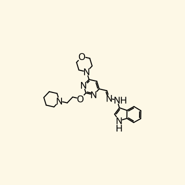 C(=NNc1c[nH]c2ccccc12)c1cc(N2CCOCC2)nc(OCCN2CCCCC2)n1